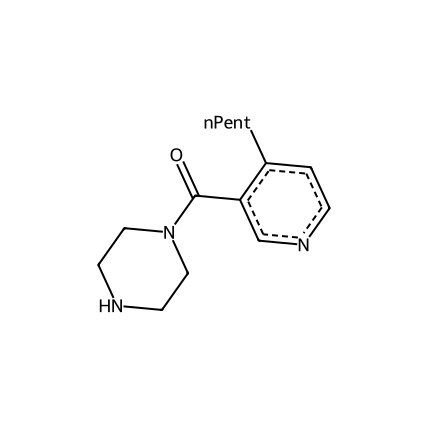 CCCCCc1ccncc1C(=O)N1CCNCC1